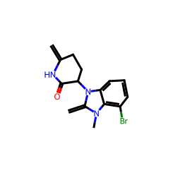 C=C1CCC(N2C(=C)N(C)c3c(Br)cccc32)C(=O)N1